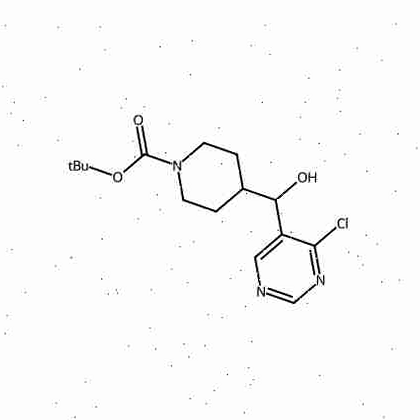 CC(C)(C)OC(=O)N1CCC(C(O)c2cncnc2Cl)CC1